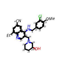 CCc1cc(C#N)cc2c(NCc3ccc(OC)c(Cl)c3)c(CN3CCCC(O)C3)cnc12